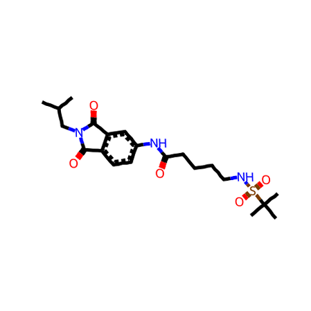 CC(C)CN1C(=O)c2ccc(NC(=O)CCCCNS(=O)(=O)C(C)(C)C)cc2C1=O